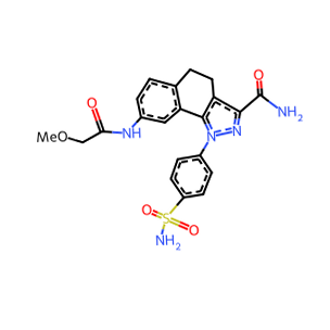 COCC(=O)Nc1ccc2c(c1)-c1c(c(C(N)=O)nn1-c1ccc(S(N)(=O)=O)cc1)CC2